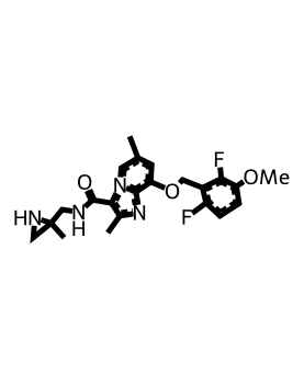 COc1ccc(F)c(COc2cc(C)cn3c(C(=O)NCC4(C)CN4)c(C)nc23)c1F